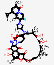 CO[C@H]1/C=C/O[C@@]2(C)Oc3c(C)c(O)c4c(c3C2=O)C(=O)C(N2CCC(NC3CCN(c5c(F)cn6c(=O)c(C(=O)O)cc(C7CC7)c6c5C)C3)CC2)=C(NC(=O)/C(C)=C\C=C\[C@H](C)[C@H](O)C[C@@H](O)C[C@H](OC(C)=O)[C@@H]1C)C4=O